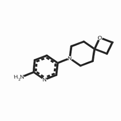 Nc1ccc(N2CCC3(CCO3)CC2)cn1